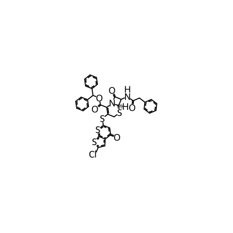 O=C(Cc1ccccc1)NC1C(=O)N2C(C(=O)OC(c3ccccc3)c3ccccc3)=C(Sc3cc(=O)c4cc(Cl)sc4s3)CS[C@H]12